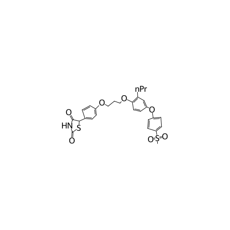 CCCc1cc(Oc2ccc(S(C)(=O)=O)cc2)ccc1OCCCOc1ccc(C2SC(=O)NC2=O)cc1